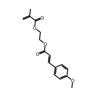 C=C(C)C(=O)OCCOC(=O)/C=C/c1ccc(OC)cc1